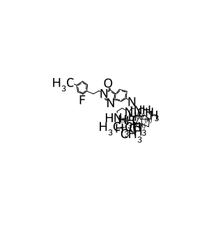 Cc1ccc(CCn2cnc3cc(N=C(N[C@H]4C[C@H]5C[C@H]([C@H]4C)C5(C)C)N4CCN[C@@H](C(C)(C)C)C4)ccc3c2=O)c(F)c1